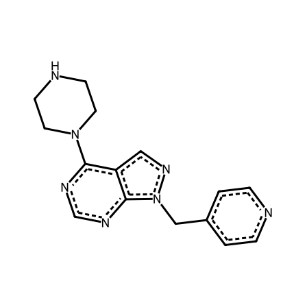 c1cc(Cn2ncc3c(N4CCNCC4)ncnc32)ccn1